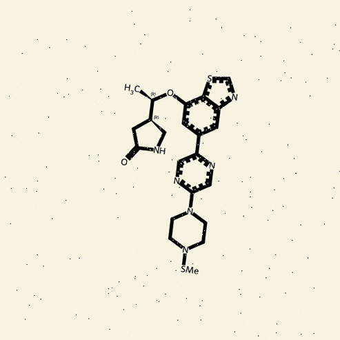 CSN1CCN(c2cnc(-c3cc(O[C@H](C)[C@H]4CNC(=O)C4)c4scnc4c3)cn2)CC1